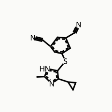 Cc1nc(C2CC2)c(Sc2cc(C#N)cc(C#N)c2)[nH]1